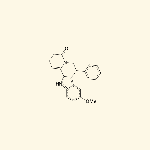 COc1ccc2[nH]c3c(c2c1)C(c1ccccc1)CN1C(=O)CCC=C31